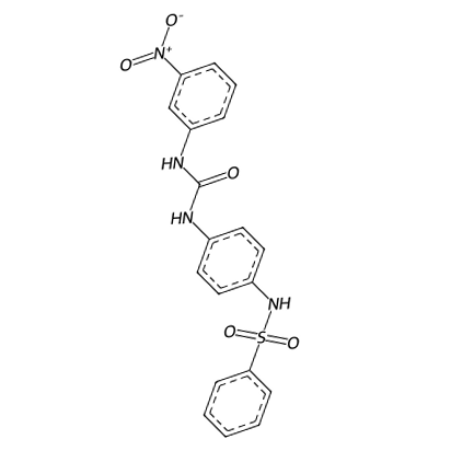 O=C(Nc1ccc(NS(=O)(=O)c2ccccc2)cc1)Nc1cccc([N+](=O)[O-])c1